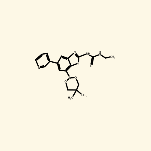 CCNC(=O)Nc1nc2cc(-c3cccnc3)cc(B3OCC(C)(C)CO3)c2s1